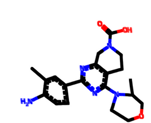 Cc1cc(-c2nc3c(c(N4CCOCC4C)n2)CCN(C(=O)O)C3)ccc1N